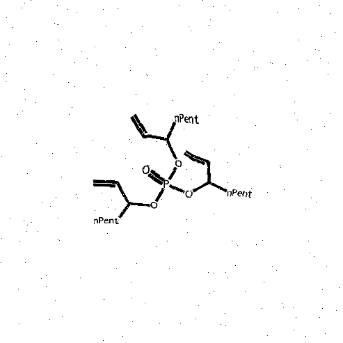 C=CC(CCCCC)OP(=O)(OC(C=C)CCCCC)OC(C=C)CCCCC